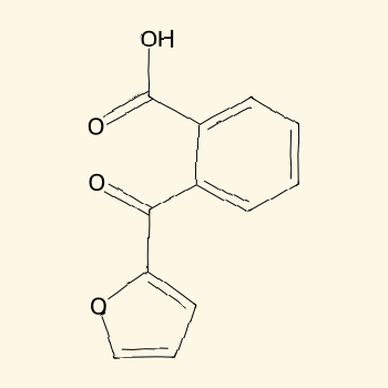 O=C(O)c1ccccc1C(=O)c1ccco1